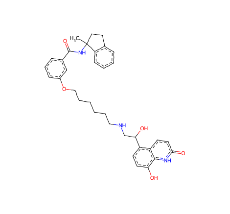 CC1(NC(=O)c2cccc(OCCCCCCNCC(O)c3ccc(O)c4[nH]c(=O)ccc34)c2)CCc2ccccc21